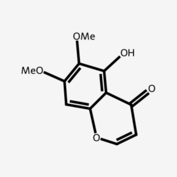 COc1cc2occc(=O)c2c(O)c1OC